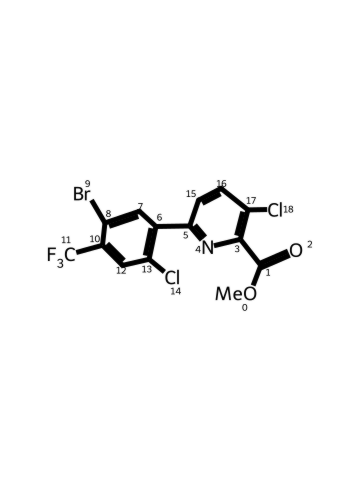 COC(=O)c1nc(-c2cc(Br)c(C(F)(F)F)cc2Cl)ccc1Cl